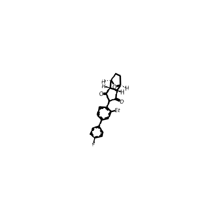 CCc1cc(-c2ccc(F)cc2)ccc1C1C(=O)[C@@H]2[C@H](C1=O)[C@H]1CC[C@@H]2O1